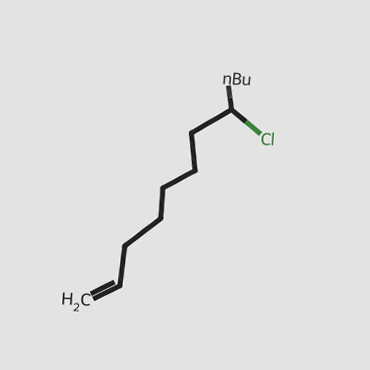 C=CCCCCCC(Cl)CCCC